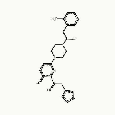 Cc1ccccc1CC(=O)N1CCN(c2ccc(=N)n(C(=N)Cc3cccs3)n2)CC1